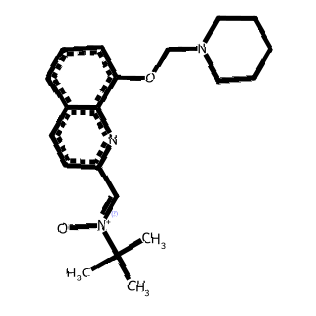 CC(C)(C)/[N+]([O-])=C/c1ccc2cccc(OCN3CCCCC3)c2n1